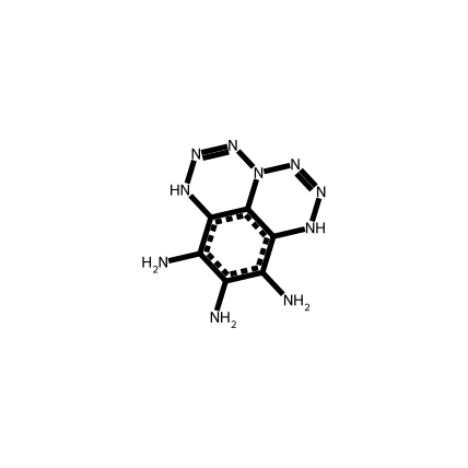 Nc1c(N)c2c3c(c1N)NN=NN3N=NN2